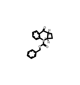 O=C1c2ccccc2N(C(=O)OCc2ccccc2)[C@H]2CC[C@@H]12